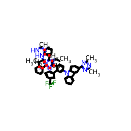 C=C(/C=C\CC)N(C(=C)/C=C\C(C)CN/C(C)=N\C(C)=N)c1ccc(C(F)(F)F)cc1-c1cc(-n2c3ccccc3c3cc(-c4nc(C)nc(C)n4)ccc32)ccc1-c1nc(-c2ccccc2)nc(-c2ccccc2)n1